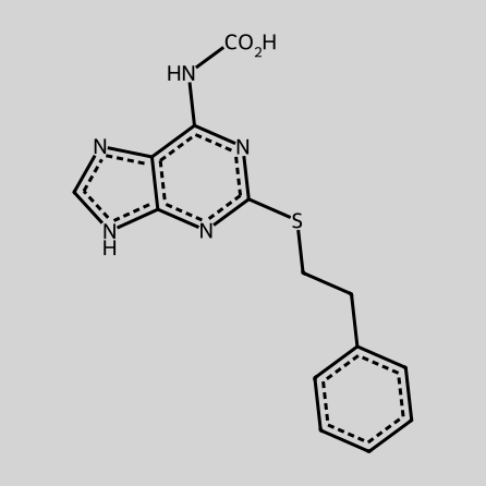 O=C(O)Nc1nc(SCCc2ccccc2)nc2[nH]cnc12